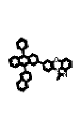 Cc1nc2cccc3c2n1-c1ccc(-c2ccc4c(-c5ccccc5)c5ccccc5c(-c5ccc6ccccc6c5)c4c2)cc1O3